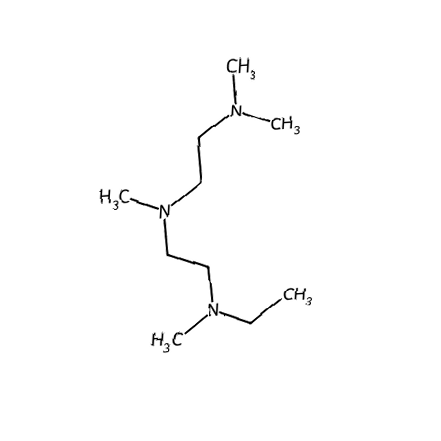 CCN(C)CCN(C)CCN(C)C